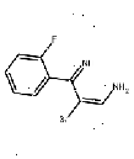 N=C(/C(Br)=C\N)c1ccccc1F